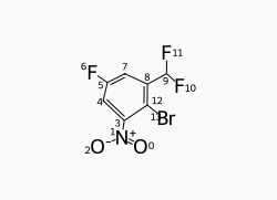 O=[N+]([O-])c1cc(F)cc(C(F)F)c1Br